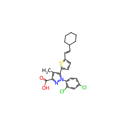 Cc1c(C(=O)O)nn(-c2ccc(Cl)cc2Cl)c1-c1ccc(C=CC2CCCCC2)s1